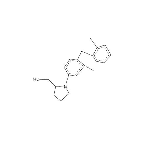 Cc1ccccc1Cc1ccc(N2CCCC2CO)cc1C